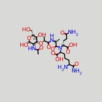 CC(=O)N[C@@H]1[C@@H](OC(C)C(=O)N[C@@H](C)C(=O)N(C(CCCC(N)C(N)=O)C(=O)O)[C@H](CCC(N)=O)C(=O)O)[C@H](O)[C@@H](CO)O[C@@H]1O